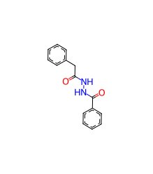 O=C(Cc1ccccc1)NNC(=O)c1ccccc1